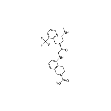 CNCCN(Cc1ncccc1C(F)(F)F)C(=O)CNc1cccc2c1CCN(C(=O)O)C2